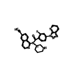 C#Cc1ccc2c(N(C(=O)c3ccc(-n4nnc5cccnc54)cc3F)[C@@H]3CCCNC3)nccc2c1